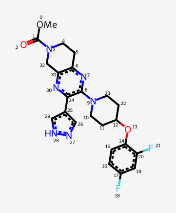 COC(=O)N1CCc2nc(N3CCC(Oc4ccc(F)cc4F)CC3)c(-c3cn[nH]c3)nc2C1